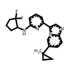 CC1(c2ccc3ncc(-c4cccc(NC5CCCC5(F)F)n4)n3c2)CC1